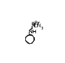 [CH2]CCN(C)CCCNCC1CCCCCCCCCCCC1